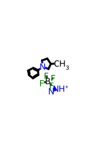 CC1CCN(c2ccccc2)C1.F[B-](F)(F)F.N#[NH+]